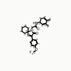 O=C(CN1C(=O)C(c2ccc(OC(F)(F)F)cc2)=NC12CCCCC2)NC1C=C(F)C(F)=CC1